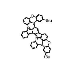 CC(C)(C)c1ccc2c(c1)B1c3c(cccc3-n3c4ccccc4c4c3c1cc1c3ccc5c6c3n(c14)-c1ccccc1B6c1cc(C(C)(C)C)ccc1O5)O2